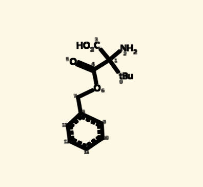 CC(C)(C)C(N)(C(=O)O)C(=O)OCc1ccccc1